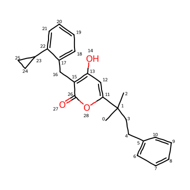 CC(C)(CCc1ccccc1)c1cc(O)c(Cc2ccccc2C2CC2)c(=O)o1